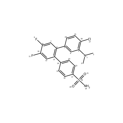 CN(C)c1cc(-c2cc(F)c(F)cc2-c2ccc(S(N)(=O)=O)cc2)ccc1Cl